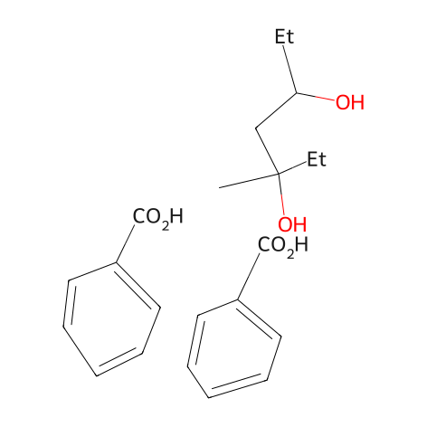 CCC(O)CC(C)(O)CC.O=C(O)c1ccccc1.O=C(O)c1ccccc1